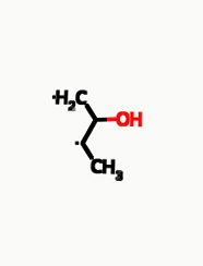 [CH2]C(O)[CH]C